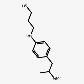 CNC(C)Cc1ccc(NCCCS)cc1